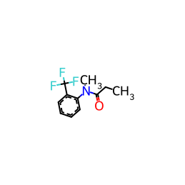 CCC(=O)N(C)c1ccccc1C(F)(F)F